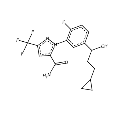 NC(=O)c1cc(C(F)(F)F)nn1-c1cc(C(O)CCC2CC2)ccc1F